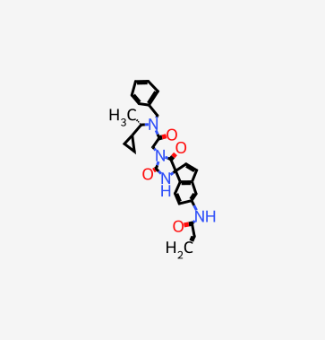 C=CC(=O)Nc1ccc2c(c1)C=CC21NC(=O)N(CC(=O)N(Cc2ccccc2)[C@@H](C)C2CC2)C1=O